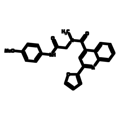 COc1ccc(NC(=O)CN(C)C(=O)c2cc(-c3ccco3)nc3ccccc23)cc1